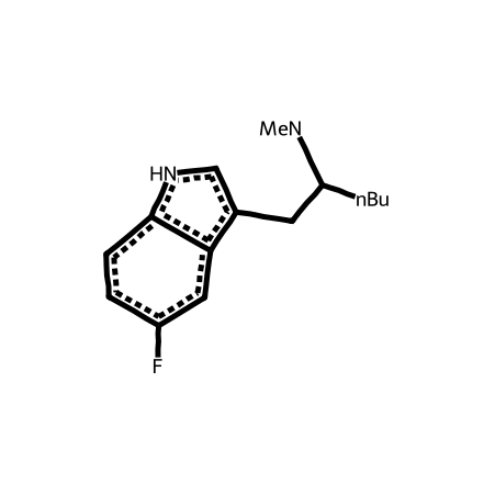 CCCCC(Cc1c[nH]c2ccc(F)cc12)NC